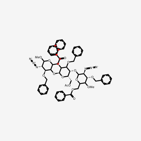 COC1OC(COC(=O)c2ccccc2)C(O[C@@H]2O[C@@H](COC(C)=O)[C@@H](OC3OC(COC(=O)c4ccccc4)C(OC)[C@@H](OCc4ccccc4)[C@@H]3N=[N+]=[N-])C(OCc3ccccc3)C2OC(=O)c2ccccc2)[C@@H](OCc2ccccc2)[C@@H]1N=[N+]=[N-]